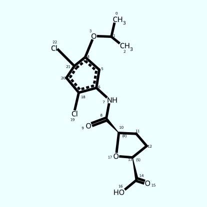 CC(C)Oc1cc(NC(=O)[C@H]2CC[C@@H](C(=O)O)O2)c(Cl)cc1Cl